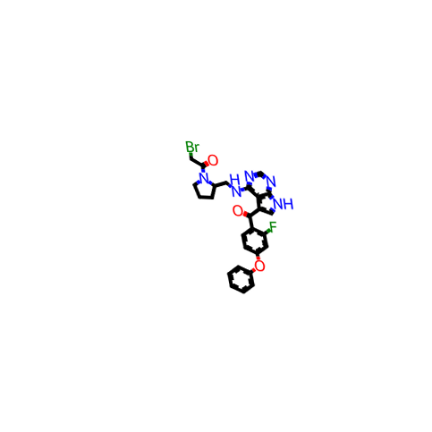 O=C(c1ccc(Oc2ccccc2)cc1F)c1c[nH]c2ncnc(NCC3CCCN3C(=O)CBr)c12